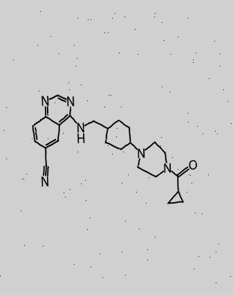 N#Cc1ccc2ncnc(NCC3CCC(N4CCN(C(=O)C5CC5)CC4)CC3)c2c1